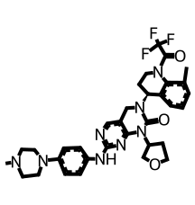 Cc1cccc2c1N(C(=O)C(F)(F)F)CC[C@@H]2N1Cc2cnc(Nc3ccc(N4CCN(C)CC4)cc3)nc2N(C2CCOC2)C1=O